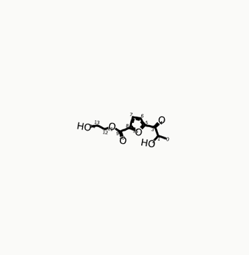 CC(O)C(=O)c1ccc(C(=O)OCCO)o1